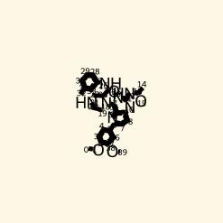 COc1ccc(-c2ccc3nc(NC(C)=O)nc(N4CCNCC4C(=O)Nc4cccc(C)c4)c3n2)cc1OC